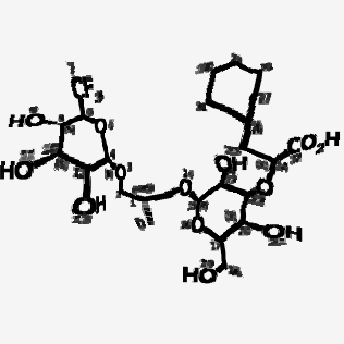 C[C@H](CO[C@@H]1OC(C(F)(F)F)[C@@H](O)[C@H](O)C1O)O[C@@H]1OC(CO)[C@H](O)C(O[C@@H](CC2CCCCC2)C(=O)O)C1O